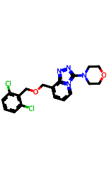 Clc1cccc(Cl)c1COCc1cccn2c(N3CCOCC3)nnc12